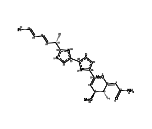 CO/C(=C/C(N)=O)[C@H](C)[C@H](/C=C/c1csc(-c2csc([C@@H](C)/C=C/C=C/C(C)C)n2)n1)OC